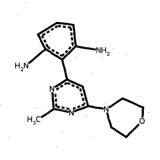 Cc1nc(-c2c(N)cccc2N)cc(N2CCOCC2)n1